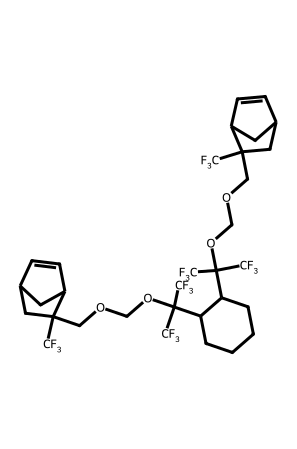 FC(F)(F)C1(COCOC(C2CCCCC2C(OCOCC2(C(F)(F)F)CC3C=CC2C3)(C(F)(F)F)C(F)(F)F)(C(F)(F)F)C(F)(F)F)CC2C=CC1C2